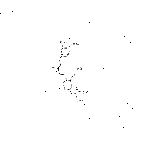 COc1ccc(CCN(C)CCN2COc3cc(OC)c(OC)cc3C2=O)cc1OC.Cl